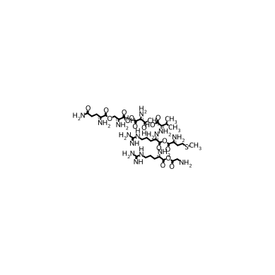 CC(C)[C@H](N)C(=O)O.CSCC[C@H](N)C(=O)OC(=O)[C@@H](N)CCCNC(=N)N.C[C@@H](O)[C@H](N)C(=O)O.N=C(N)NCCC[C@H](N)C(=O)OC(=O)CN.NC(=O)CC[C@H](N)C(=O)OC[C@H](N)C(=O)O